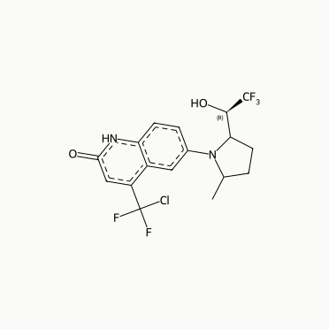 CC1CCC([C@@H](O)C(F)(F)F)N1c1ccc2[nH]c(=O)cc(C(F)(F)Cl)c2c1